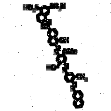 COc1cc(N=Nc2ccc(N=Nc3ccc4ccccc4c3)c(C)c2)c(CO)cc1N=Nc1ccc2cc(-n3nc4ccc5c(S(=O)(=O)O)cc(S(=O)(=O)O)cc5c4n3)ccc2c1O